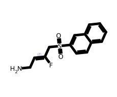 NC/C=C(\F)CS(=O)(=O)c1ccc2ccccc2c1